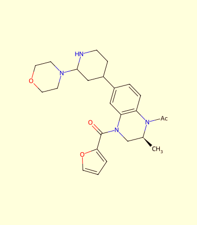 CC(=O)N1c2ccc(C3CCNC(N4CCOCC4)C3)cc2N(C(=O)c2ccco2)C[C@@H]1C